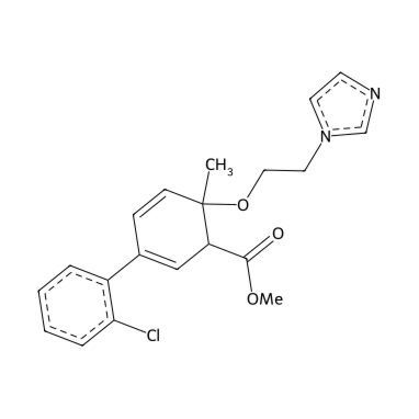 COC(=O)C1C=C(c2ccccc2Cl)C=CC1(C)OCCn1ccnc1